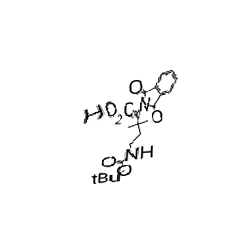 CC(C)(C)OC(=O)NCCC(C)(C)[C@H](C(=O)O)N1C(=O)c2ccccc2C1=O